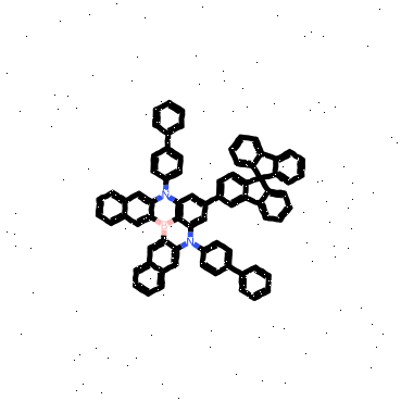 c1ccc(-c2ccc(N3c4cc5ccccc5cc4B4c5cc6ccccc6cc5N(c5ccc(-c6ccccc6)cc5)c5cc(-c6ccc7c(c6)-c6ccccc6C76c7ccccc7-c7ccccc76)cc3c54)cc2)cc1